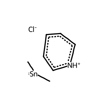 [CH3][Sn][CH3].[Cl-].c1cc[nH+]cc1